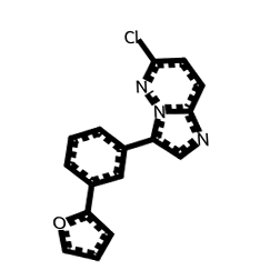 Clc1ccc2ncc(-c3cccc(-c4ccco4)c3)n2n1